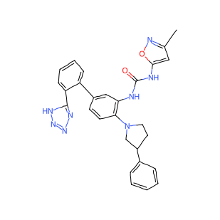 Cc1cc(NC(=O)Nc2cc(-c3ccccc3-c3nnn[nH]3)ccc2N2CCC(c3ccccc3)C2)on1